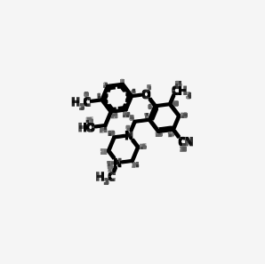 Cc1ccc(OC2=C(CN3CCN(C)CC3)C=C(C#N)CC2C)cc1CO